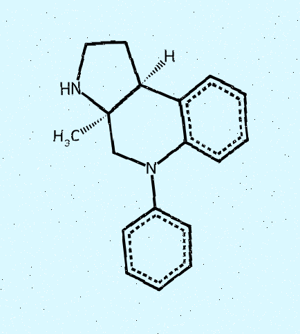 C[C@@]12CN(c3ccccc3)c3ccccc3[C@@H]1CCN2